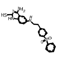 NC1=NC(S)Nc2ccc(NCCc3ccc(S(=O)(=O)c4ccccc4)cc3)cc21